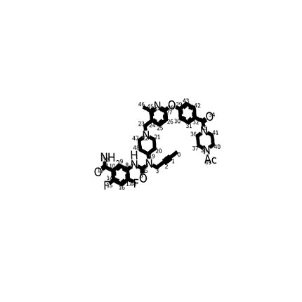 CC#CCN(C(=O)Nc1cc(C(N)=O)c(F)cc1F)C1CCN(Cc2ccc(Oc3ccc(C(=O)N4CCN(C(C)=O)CC4)cc3)nc2C)CC1